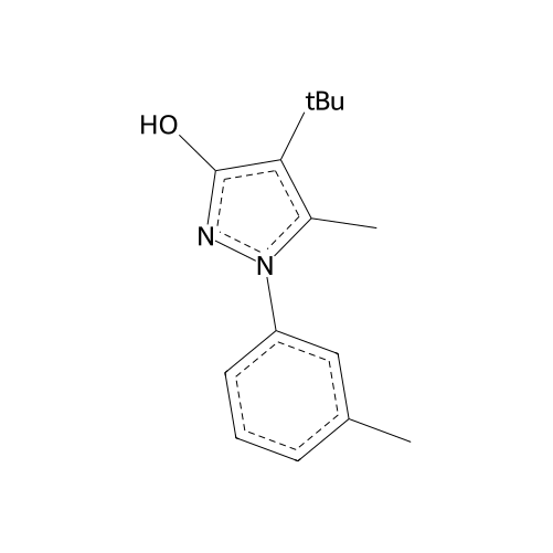 Cc1cccc(-n2nc(O)c(C(C)(C)C)c2C)c1